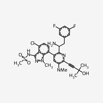 CNc1cc(-c2ccc(Cl)c3c(NS(C)(=O)=O)nn(C)c23)c(C(N)Cc2cc(F)cc(F)c2)nc1C#CC(C)(C)O